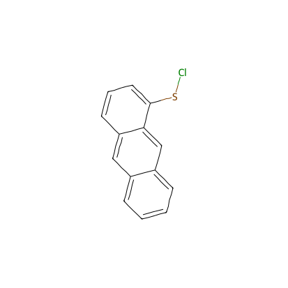 ClSc1cccc2cc3ccccc3cc12